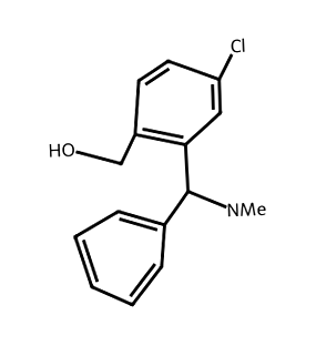 CNC(c1ccccc1)c1cc(Cl)ccc1CO